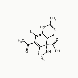 CNC1(C(=O)O)C(I)=C(C(C)=O)C(I)=C(NC(C)=O)C1I